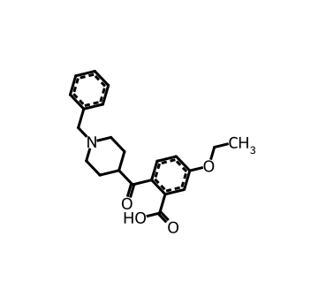 CCOc1ccc(C(=O)C2CCN(Cc3ccccc3)CC2)c(C(=O)O)c1